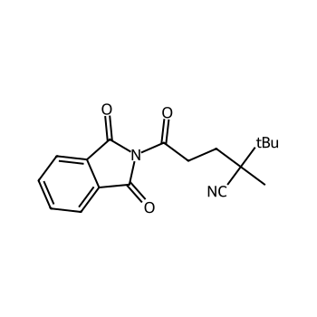 CC(C)(C)C(C)(C#N)CCC(=O)N1C(=O)c2ccccc2C1=O